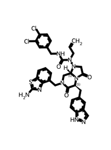 C=CCN(C(=O)NCc1ccc(Cl)c(Cl)c1)N1CC(=O)N2[C@@H](Cc3ccc4[nH]ncc4c3)C(=O)N(Cc3cccc4sc(N)nc34)C[C@@H]21